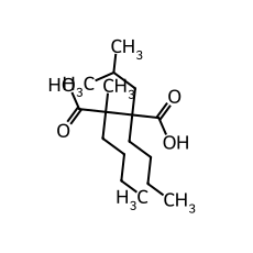 CCCCC(C)(C(=O)O)C(CCCC)(CC(C)C)C(=O)O